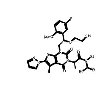 CCC(CC)N(CC)C(=O)[C@@H](C)n1c(=O)c2c(C)c(-n3cccn3)sc2n(C[C@H](OCCC#N)c2cc(F)ccc2OC)c1=O